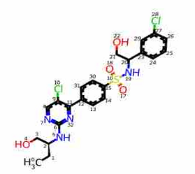 CC[C@@H](CO)Nc1ncc(Cl)c(-c2ccc(S(=O)(=O)NC(CO)c3cccc(Cl)c3)cc2)n1